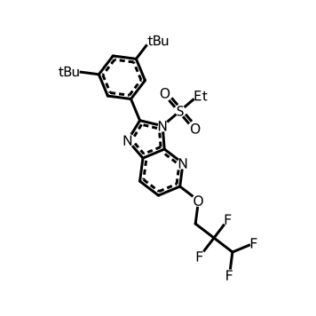 CCS(=O)(=O)n1c(-c2cc(C(C)(C)C)cc(C(C)(C)C)c2)nc2ccc(OCC(F)(F)C(F)F)nc21